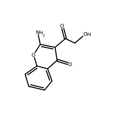 Nc1oc2ccccc2c(=O)c1C(=O)CO